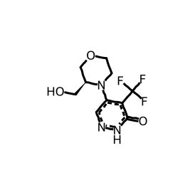 O=c1[nH]ncc(N2CCOC[C@@H]2CO)c1C(F)(F)F